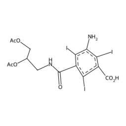 CC(=O)OCC(CNC(=O)c1c(I)c(N)c(I)c(C(=O)O)c1I)OC(C)=O